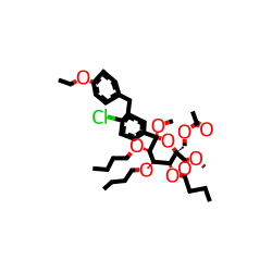 CCCCO[C@@H]1[C@@H](OCCCC)[C@](OC)(c2ccc(Cl)c(Cc3ccc(OCC)cc3)c2)O[C@@](COC(C)=O)(C(=O)OC)[C@H]1OCCCC